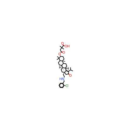 CC(C)C1=C2[C@H]3CCC4[C@@H](CCC5C(C)(C)[C@@H](OC(=O)CC(C)(C)C(=O)O)CC[C@]45C)[C@]3(C)CC[C@@]2(CCNCc2ccccc2Cl)CC1=O